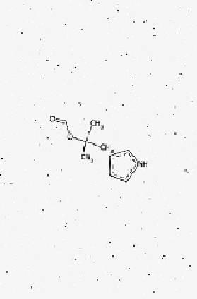 CC(C)(C)OC=O.c1cc[nH]c1